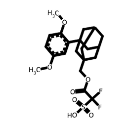 COc1ccc(OC)c(C23CC4CC(CC(COC(=O)C(F)(F)S(=O)(=O)O)(C4)C2)C3)c1